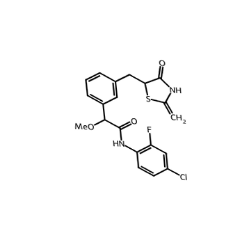 C=C1NC(=O)C(Cc2cccc(C(OC)C(=O)Nc3ccc(Cl)cc3F)c2)S1